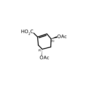 CC(=O)O[C@@H]1CC(C(=O)O)=C[C@@H](OC(C)=O)C1